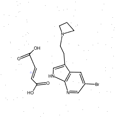 Brc1cnc2[nH]cc(CCN3CCC3)c2c1.O=C(O)/C=C/C(=O)O